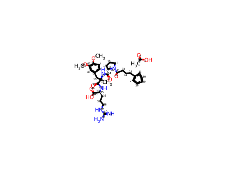 CC(=O)O.COc1ccc(C[C@](C)(NC(=O)[C@@H]2CCCN2C(=O)CCCc2ccccc2)C(=O)N[C@@H](CCCNC(=N)N)C(=O)O)cc1OC